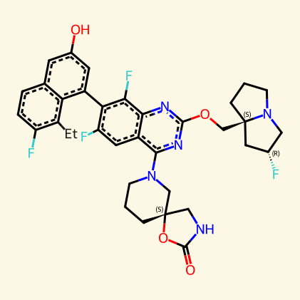 CCc1c(F)ccc2cc(O)cc(-c3c(F)cc4c(N5CCC[C@]6(CNC(=O)O6)C5)nc(OC[C@@]56CCCN5C[C@H](F)C6)nc4c3F)c12